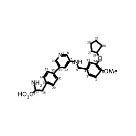 COc1ccc(CNc2cncc(-c3ccc(CC(N)C(=O)O)cc3)c2)cc1OC1CCCC1